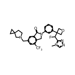 Cn1cnnc1C(F)C1(c2cccc(N3Cc4c(cc(CN5CCC6(CC6)C5)cc4C(F)(F)F)C3=O)c2)COC1